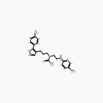 O=C(N(CCCc1cnoc1-c1ccc(C(F)(F)F)cc1)CCNc1ccc([N+](=O)[O-])cn1)C(F)(F)F